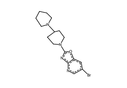 Brc1cnc2nc(N3CCC(N4CCCCC4)CC3)oc2c1